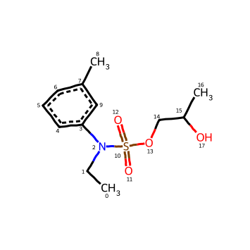 CCN(c1cccc(C)c1)S(=O)(=O)OCC(C)O